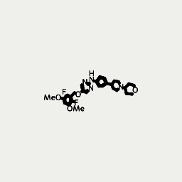 COc1cc(OC)c(F)c(COc2cnc(Nc3ccc(C4CCN(C5CCOCC5)CC4)cc3)nc2)c1F